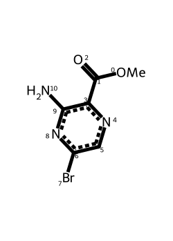 COC(=O)c1ncc(Br)nc1N